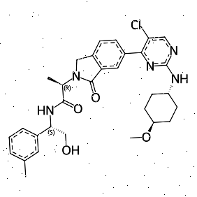 CO[C@H]1CC[C@H](Nc2ncc(Cl)c(-c3ccc4c(c3)C(=O)N([C@H](C)C(=O)N[C@H](CO)c3cccc(C)c3)C4)n2)CC1